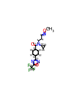 CO/N=C/CCN(C(=O)c1ccc(-c2noc(C(F)(F)F)n2)cc1)C1CC1